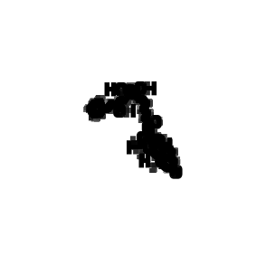 C[C@]12CCC(=O)C=C1CC[C@@H]1C2=CC[C@@]2(C)[C@H]1CC[C@]2(O)C(=O)COC(=O)CCC/C=C\C[C@@H]1[C@@H](/C=C/[C@@H](O)CCc2ccccc2)[C@H](O)C[C@@H]1O